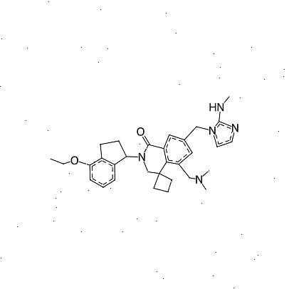 CCOc1cccc2c1CCC2N1CC2(CCC2)c2c(CN(C)C)cc(Cn3ccnc3NC)cc2C1=O